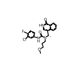 COCCCN(C(=O)Nc1ccc(F)c(Cl)c1)[C@@H](C)c1c[nH]c(=O)c2ccccc12